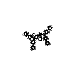 Cc1cc(N(c2ccc(-c3ccccc3)cc2)c2ccc(-c3ccccc3)cc2)c(C)cc1-c1ccc(N(c2ccc(-c3ccccc3)cc2)c2ccc(-c3ccccc3)cc2)s1